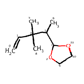 C=CC(C)(C)C(C)C1OCCO1